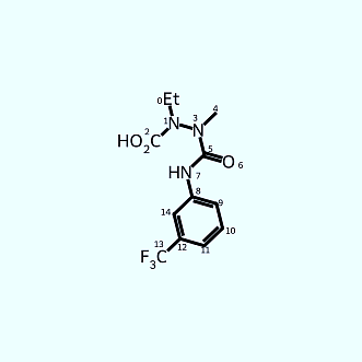 CCN(C(=O)O)N(C)C(=O)Nc1cccc(C(F)(F)F)c1